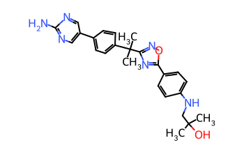 CC(C)(O)CNc1ccc(-c2nc(C(C)(C)c3ccc(-c4cnc(N)nc4)cc3)no2)cc1